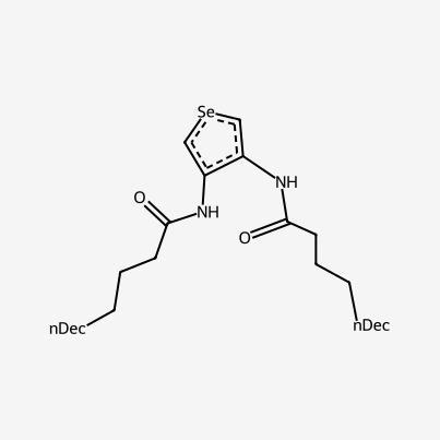 CCCCCCCCCCCCCC(=O)Nc1c[se]cc1NC(=O)CCCCCCCCCCCCC